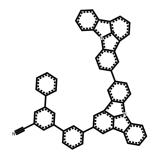 N#Cc1cc(-c2ccccc2)cc(-c2cccc(-c3cc4c5ccccc5n5c6ccc(-c7ccc8c(c7)c7cccc9c%10ccccc%10n8c97)cc6c(c3)c45)c2)c1